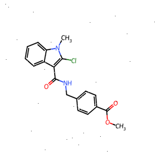 COC(=O)c1ccc(CNC(=O)c2c(Cl)n(C)c3ccccc23)cc1